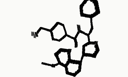 COc1ccnc2c(-c3ccnc(C(Cc4ccccc4)NC(=O)C4CCC(CN)CC4)c3)cccc12